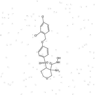 NC1(C(=O)NO)COCCC1S(=O)(=O)c1ccc(OCc2ccc(Cl)cc2Cl)cc1